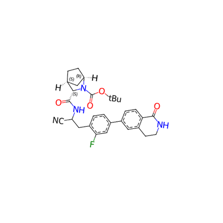 CC(C)(C)OC(=O)N1[C@@H]2CC[C@@H](C2)[C@H]1C(=O)NC(C#N)Cc1ccc(-c2ccc3c(c2)CCNC3=O)cc1F